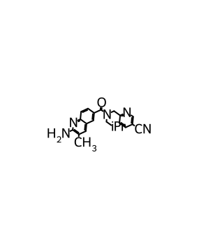 Cc1cc2cc(C(=O)N(Cc3ccc(C#N)cn3)CC(C)C)ccc2nc1N